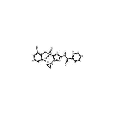 O=C(Nc1nc(C2CC2)c(S(=O)(=O)Cc2c(F)cccc2F)s1)c1ccccn1